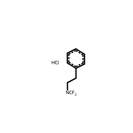 Cl.FC(F)(F)NCCc1ccccc1